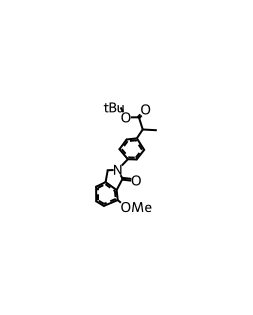 COc1cccc2c1C(=O)N(c1ccc(C(C)C(=O)OC(C)(C)C)cc1)C2